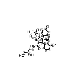 CC(C)(C)C[C@@H]1N[C@H](C(=O)NCC[C@H](O)CO)[C@H](c2cccc(Br)c2)[C@@]1(C#N)c1ccc(Cl)cc1F